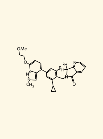 [2H]C1([2H])c2ncccc2C(=O)N1Cc1c(F)cc(-c2ccc(OCCOC)c3nn(C)cc23)cc1C1CC1